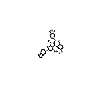 COc1ccc(CN2C(=O)c3nc(-c4ccc5ncnn5c4)cc(N)c3C2c2cc(F)ccc2Cl)cc1